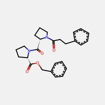 O=C(OCc1ccccc1)[C@@H]1CCCN1C(=O)[C@@H]1CCCN1C(=O)CCc1ccccc1